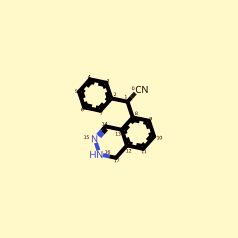 N#CC(c1ccccc1)c1cccc2c1C=NNC2